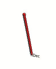 C=C(C)C(=O)OCCOCCOCCOCCOCCOCCOCCOCCOCCOCCOCCOCCOCCOCCOCCOCCOCCOCCOCCOCCOCCOCCOCCOCCOCCOCCOCCOCCOCCOCCOCCCCCCCCCCCC